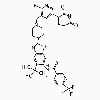 CC(C)(O)c1cc2nc(C3CCN(Cc4cc(C5CCC(=O)NC5=O)cnc4F)CC3)oc2cc1NC(=O)c1ccc(C(F)(F)F)nc1